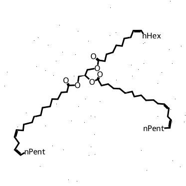 CCCCC/C=C\C/C=C\CCCCCCCCCCCC(=O)OC[C@@H](COC(=O)CCCCCCC/C=C\CCCCCC)OC(=O)CCCCCCCCCCC/C=C\C/C=C\CCCCC